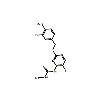 CCCNC(=O)Nc1nc(OCc2ccc(OC)c(F)c2)ncc1F